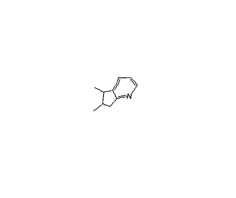 CC1Cc2ncccc2C1C